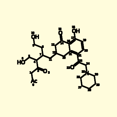 CC(=O)CC(=O)C(CO)C(CCO)CC1CC(=O)c2c(O)ccc(C(=O)CN3CCCCC3)c2C1